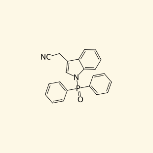 N#CCc1cn(P(=O)(c2ccccc2)c2ccccc2)c2ccccc12